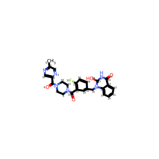 Cc1cnc(C(=O)N2CCN(C(=O)c3cc(CN4c5ccccc5C(=O)NC4O)ccc3F)CC2)cn1